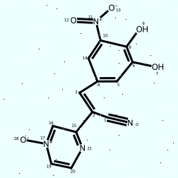 N#C/C(=C\c1cc(O)c(O)c([N+](=O)[O-])c1)c1c[n+]([O-])ccn1